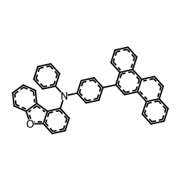 c1ccc(N(c2ccc(-c3cc4c5ccccc5ccc4c4ccccc34)cc2)c2cccc3oc4ccccc4c23)cc1